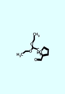 CCOC(C)OCC.O=Cc1ccco1